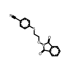 N#Cc1ccc(SCCON2C(=O)c3ccccc3C2=O)cc1